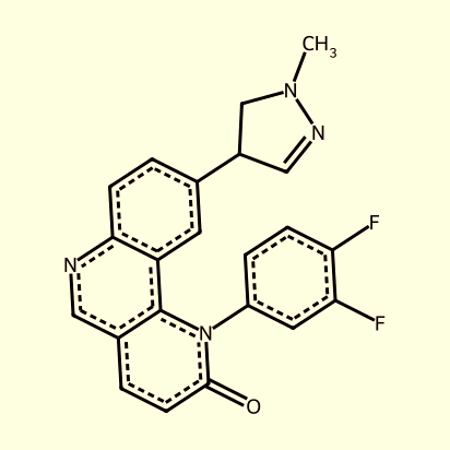 CN1CC(c2ccc3ncc4ccc(=O)n(-c5ccc(F)c(F)c5)c4c3c2)C=N1